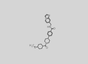 COC1CCC(C(=O)N2CCC(c3ccc(C(=O)NCc4ccn5ccnc5c4)cc3)CC2)CC1